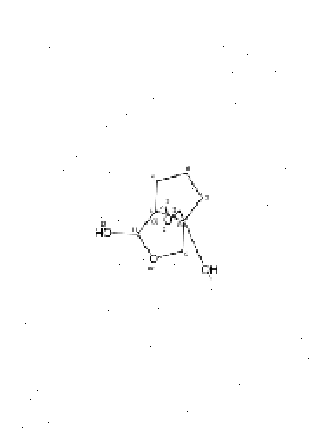 OC1OC[C@]23CCCC12COC3O